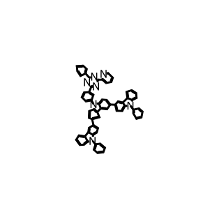 c1ccc(-c2nc(-c3cccc(-n4c5ccc(-c6ccc7c(c6)c6ccccc6n7-c6ccccc6)cc5c5cc(-c6ccc7c(c6)c6ccccc6n7-c6ccccc6)ccc54)c3)nc(-c3ccccn3)n2)cc1